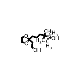 CC(C)(CCCC1(CCO)OCCO1)[Si](C)(C)O